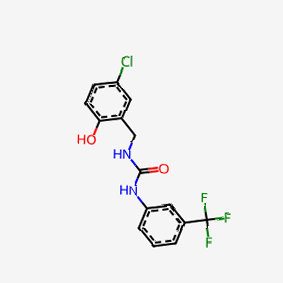 O=C(NCc1cc(Cl)ccc1O)Nc1cccc(C(F)(F)F)c1